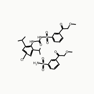 COCC(=O)c1cccc(S(=O)(=O)NC(=O)Nc2c(C(C)C)cc(Cl)cc2C(C)C)c1.COCC(=O)c1cccc(S(N)(=O)=O)c1